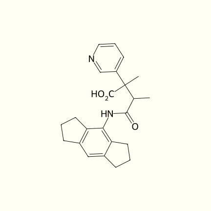 CC(C(=O)Nc1c2c(cc3c1CCC3)CCC2)C(C)(C(=O)O)c1cccnc1